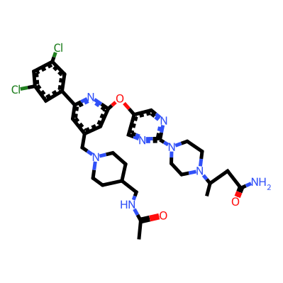 CC(=O)NCC1CCN(Cc2cc(Oc3cnc(N4CCN(C(C)CC(N)=O)CC4)nc3)nc(-c3cc(Cl)cc(Cl)c3)c2)CC1